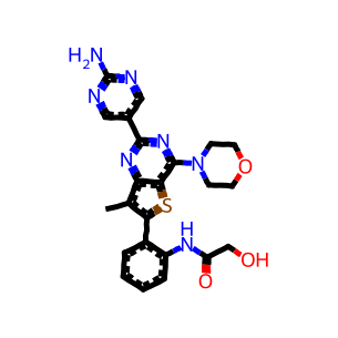 Cc1c(-c2ccccc2NC(=O)CO)sc2c(N3CCOCC3)nc(-c3cnc(N)nc3)nc12